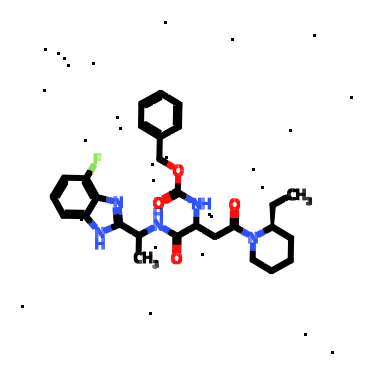 CC[C@H]1CCCCN1C(=O)CC(NC(=O)OCc1ccccc1)C(=O)NC(C)c1nc2c(F)cccc2[nH]1